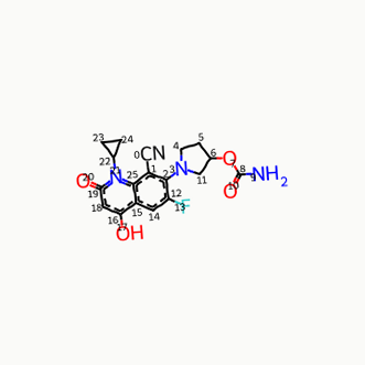 N#Cc1c(N2CCC(OC(N)=O)C2)c(F)cc2c(O)cc(=O)n(C3CC3)c12